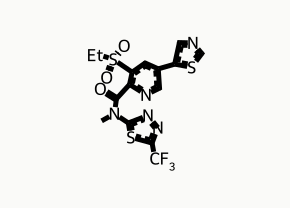 CCS(=O)(=O)c1cc(-c2cncs2)cnc1C(=O)N(C)c1nnc(C(F)(F)F)s1